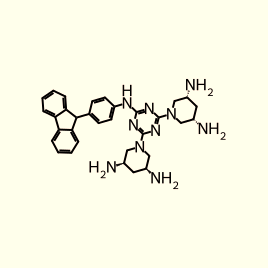 N[C@@H]1C[C@H](N)CN(c2nc(Nc3ccc(C4c5ccccc5-c5ccccc54)cc3)nc(N3C[C@H](N)C[C@H](N)C3)n2)C1